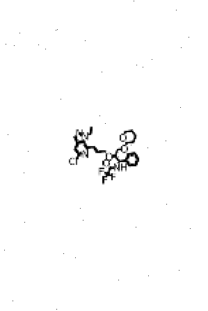 CCn1ncc2cc(Cl)nc(/C=C/COC(COC3CCCCO3)C(NC(=O)C(F)(F)F)c3ccccc3)c21